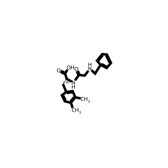 Cc1ccc(C[C@@H](NC(=O)CNCc2ccccc2)C(=O)O)cc1C